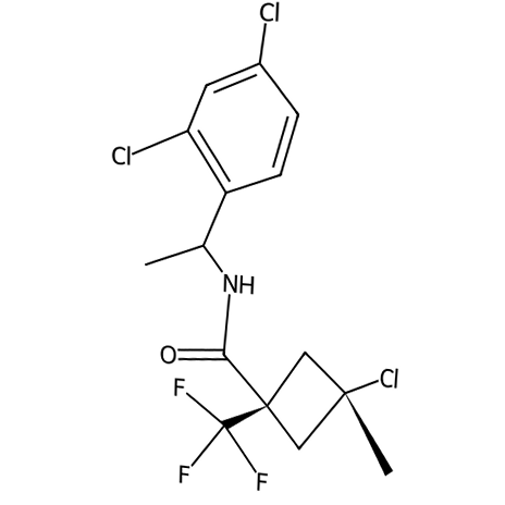 CC(NC(=O)[C@]1(C(F)(F)F)C[C@](C)(Cl)C1)c1ccc(Cl)cc1Cl